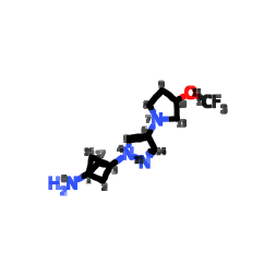 NC12CC(n3cc(N4CCC(OC(F)(F)F)C4)cn3)(C1)C2